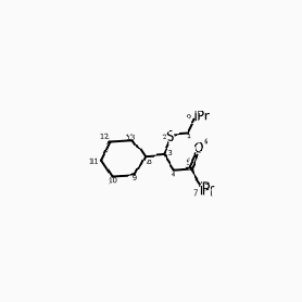 CC(C)CSC(CC(=O)C(C)C)C1CCCCC1